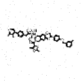 Cc1cccc(COc2ccc([C@H]3COc4cc5c(cc4O3)CN(C(=O)c3nc(C)oc3C)[C@H](C(=O)NC(Cc3ccc(-c4ccnc(C)c4C)cc3)C(=O)O)C5)cc2)c1